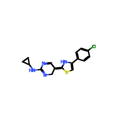 Clc1ccc(C2=CSC(=C3[C]=NC(NC4CC4)=NC3)N2)cc1